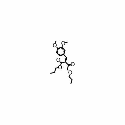 CCCOCC(=O)C(=Cc1ccc(OC)c(OC)c1)C(=O)OCCC